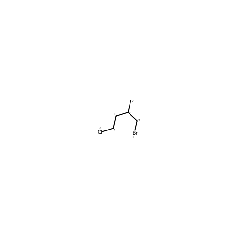 CC(CBr)CCCl